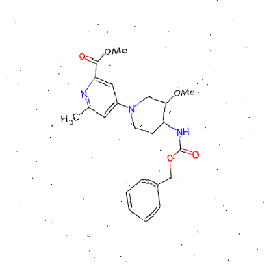 COC(=O)c1cc(N2CCC(NC(=O)OCc3ccccc3)C(OC)C2)cc(C)n1